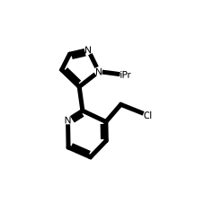 CC(C)n1nccc1-c1ncccc1CCl